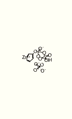 O=P([O-])(Oc1ccccc1)OS(=O)(=O)O.O=P([O-])([O-])[O-].[Zr+4]